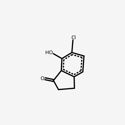 O=C1CCc2ccc(Cl)c(O)c21